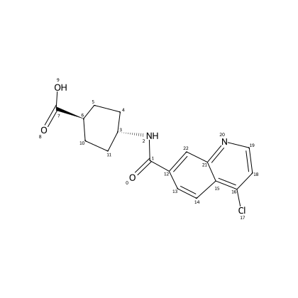 O=C(N[C@H]1CC[C@H](C(=O)O)CC1)c1ccc2c(Cl)ccnc2c1